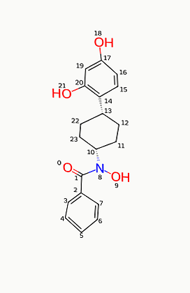 O=C(c1ccccc1)N(O)[C@H]1CC[C@@H](c2ccc(O)cc2O)CC1